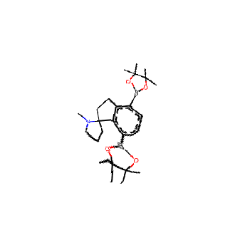 CN1CCCC12CCc1c(B3OC(C)(C)C(C)(C)O3)ccc(B3OC(C)(C)C(C)(C)O3)c12